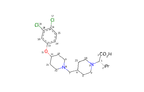 CC(C)[C@@H](C(=O)O)N1CCC(CN2CCC(Oc3ccc(Cl)c(Cl)c3)CC2)CC1